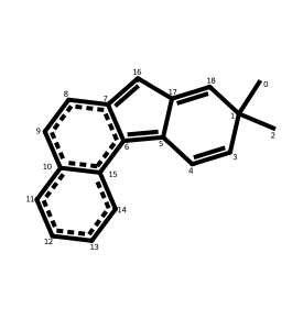 CC1(C)C=CC2=c3c(ccc4ccccc34)=[C]C2=C1